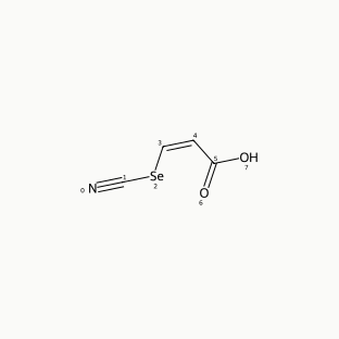 N#C[Se]/C=C\C(=O)O